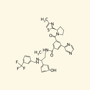 Cc1csc([C@H]2CCCN2C(=O)c2cc(C(=O)N[C@@H](C)CC(NCc3cccc(C(F)(F)F)c3)c3cccc(O)c3)cc(-c3cnccn3)c2)n1